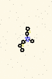 c1ccc(-c2nc(-c3ccc4c(c3)sc3ccccc34)nc(-c3ccc4c(c3)sc3c(-c5ccccc5)cccc34)n2)cc1